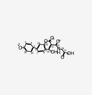 COc1ccc(-c2ccc3c(O)c(C(=O)NCC(=O)O)c(=O)oc3c2)cc1